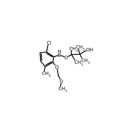 COCOc1c(C)ccc(Cl)c1BOC(C)(C)C(C)(C)O